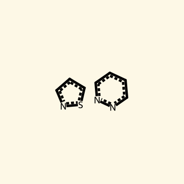 c1ccnnc1.c1cnsc1